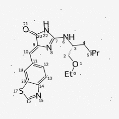 CCOC[C@@H](CC(C)C)NC1=N/C(=C\c2ccc3ncsc3c2)C(=O)N1